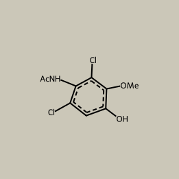 COc1c(O)cc(Cl)c(NC(C)=O)c1Cl